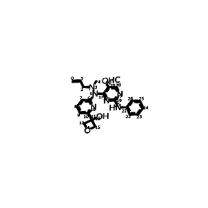 C=CCN(C)N(c1cccc(C2(O)COC2)n1)c1nc(Nc2ccccc2)ncc1C=O